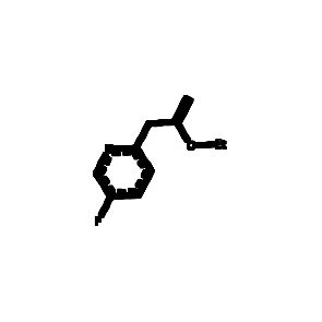 C=C(Cc1ccc(F)cn1)OCC